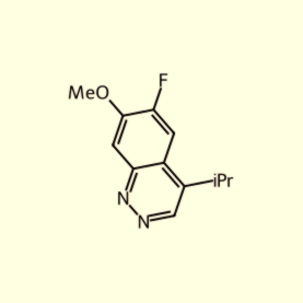 COc1cc2nncc(C(C)C)c2cc1F